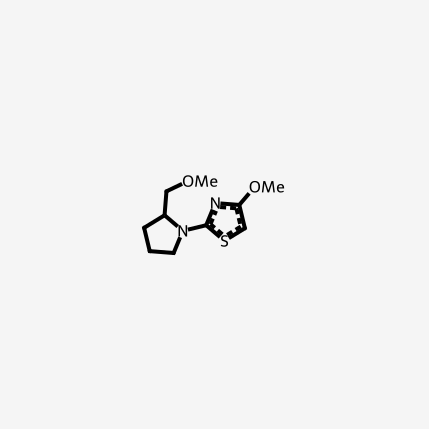 COCC1CCCN1c1nc(OC)cs1